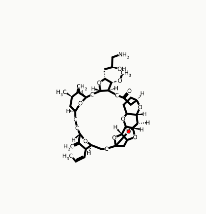 C=C1C(/C=C\C)[C@@H]2CCC34CC5O[C@H]6[C@@H](O3)[C@H]3O[C@H](CCC3O[C@H]6[C@H]5O4)CC(=O)C[C@@H]3[C@@H](OC)[C@@H](C[C@H](O)CN)O[C@H]3C[C@H]3O[C@@H](CC[C@@H]1O2)C[C@@H](C)C3=C